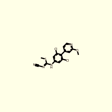 COc1cc(-c2c(Cl)cc(N/C(=N/C#N)SC)cc2Cl)ccn1